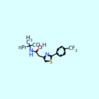 CCCC(C)(NC(=O)Cc1csc(-c2ccc(C(F)(F)F)cc2)n1)C(=O)O